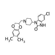 Cc1cc2c(cc1C)OC(CN1CCC(n3c(=O)[nH]c4cc(Cl)ccc43)CC1)CO2